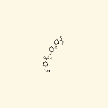 CNC(=O)c1cc(Oc2cccc(CCNC(=O)c3ccc(C(C)O)cc3)c2)ccn1